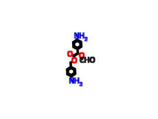 Nc1ccc(COC(=O)C(O[C]=O)c2ccc(N)cc2)cc1